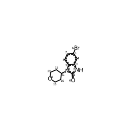 O=c1[nH]c2cc(Br)ccc2n1C1CCOCC1